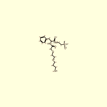 CC[N+](C)(C)CCNC(=O)C(Cc1ccccc1)NC(=O)COCCOCCCS